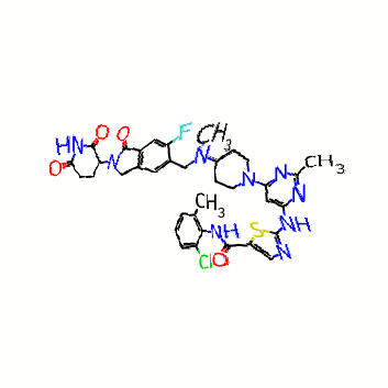 Cc1nc(Nc2ncc(C(=O)Nc3c(C)cccc3Cl)s2)cc(N2CCC(N(C)Cc3cc4c(cc3F)C(=O)N(C3CCC(=O)NC3=O)C4)CC2)n1